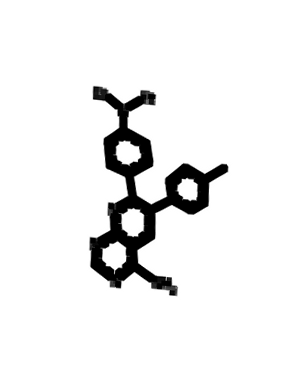 CCN(CC)c1ccc(-c2nc3ncnc(N)c3cc2-c2ccc(C)cc2)cc1